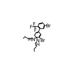 CCCCNC1(NCCCC)CC=C(c2cc(Br)ccc2C(F)(F)F)C=C1Br